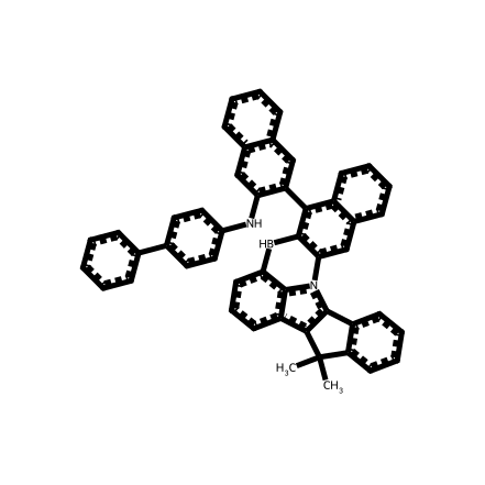 CC1(C)c2ccccc2-c2c1c1cccc3c1n2-c1cc2ccccc2c(-c2cc4ccccc4cc2Nc2ccc(-c4ccccc4)cc2)c1B3